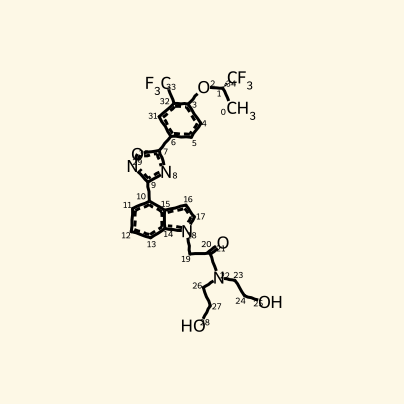 C[C@H](Oc1ccc(-c2nc(-c3cccc4c3ccn4CC(=O)N(CCO)CCO)no2)cc1C(F)(F)F)C(F)(F)F